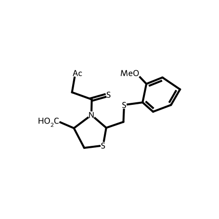 COc1ccccc1SCC1SCC(C(=O)O)N1C(=S)CC(C)=O